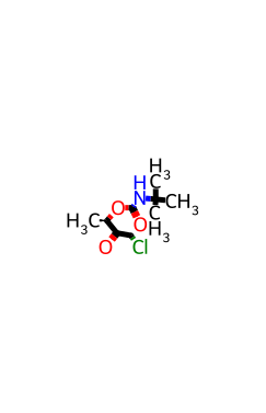 C[C@H](OC(=O)NC(C)(C)C)C(=O)CCl